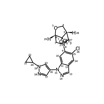 C[C@]1(O)[C@@H]2CO[C@H]1CN(c1cc3c(cnn3-c3cnn(C4CC4)c3)cc1Cl)C2